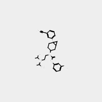 COc1cccc(NC(=O)N(CCN(C(C)C)C(C)C)C2CC[C@]3(c4cccc(C#N)c4)CC3C2)c1